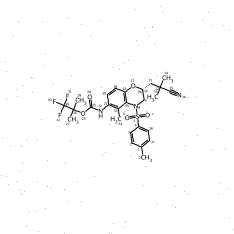 Cc1ccc(S(=O)(=O)N2C[C@@H](CC(C)(C)C#N)Oc3ccc(NC(=O)OC(C)(C)C(F)(F)F)c(C)c32)cc1